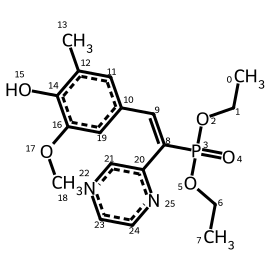 CCOP(=O)(OCC)/C(=C/c1cc(C)c(O)c(OC)c1)c1cnccn1